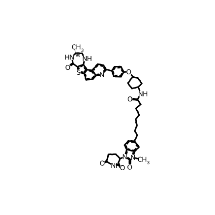 C[C@@H]1CNc2c(sc3ccc4nc(-c5ccc(OC6CCC(NC(=O)CCCCCCCc7ccc8c(c7)n(C)c(=O)n8C7CCC(=O)NC7=O)CC6)cc5)ccc4c23)C(=O)N1